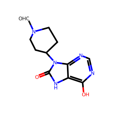 O=CN1CCC(n2c(=O)[nH]c3c(O)ncnc32)CC1